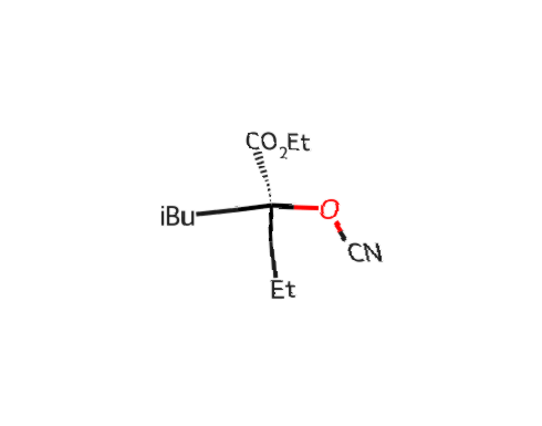 CCOC(=O)[C@@](CC)(OC#N)C(C)CC